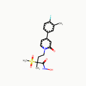 Cc1cc(-c2ccn(CCC(C)(C(=O)NO)S(C)(=O)=O)c(=O)c2)ccc1F